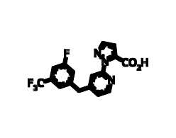 O=C(O)c1ccnn1-c1cc(Cc2cc(F)cc(C(F)(F)F)c2)ccn1